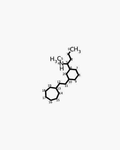 CCCC(NC)C1CCCC(CCC2CCCCCC2)C1